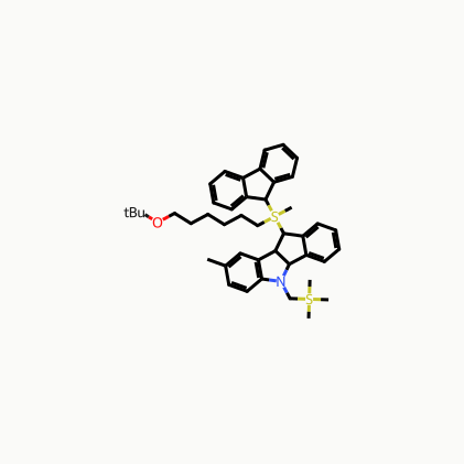 Cc1ccc2c(c1)C1C(c3ccccc3C1S(C)(CCCCCCOC(C)(C)C)C1c3ccccc3-c3ccccc31)N2CS(C)(C)C